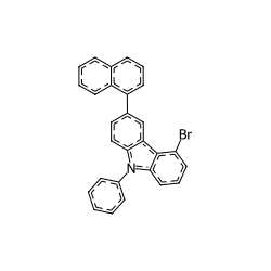 Brc1cccc2c1c1cc(-c3cccc4ccccc34)ccc1n2-c1ccccc1